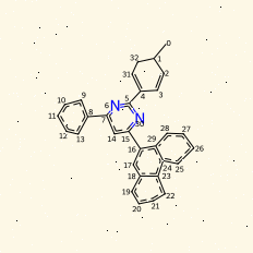 CC1C=CC(c2nc(-c3ccccc3)cc(-c3cc4ccccc4c4ccccc34)n2)=CC1